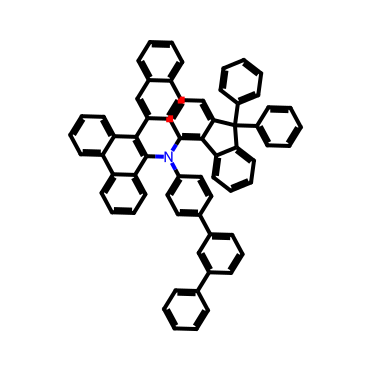 c1ccc(-c2cccc(-c3ccc(N(c4cccc5c4-c4ccccc4C5(c4ccccc4)c4ccccc4)c4c(-c5ccc6ccccc6c5)c5ccccc5c5ccccc45)cc3)c2)cc1